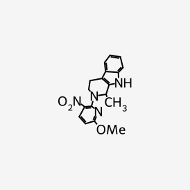 COc1ccc([N+](=O)[O-])c(N2CCc3c([nH]c4ccccc34)C2C)n1